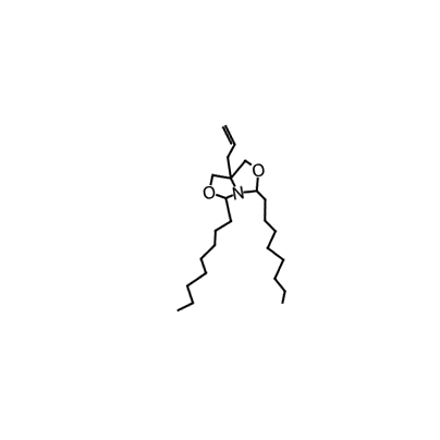 C=CCC12COC(CCCCCCCC)N1C(CCCCCCCC)OC2